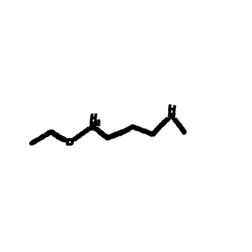 CCO[SiH2]CCCNC